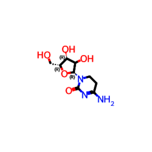 NC1=NC(=O)N([C@@H]2O[C@H](CO)[C@H](O)C2O)CC1